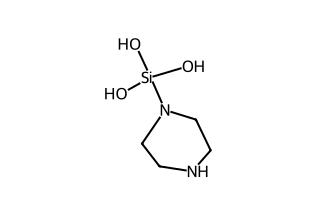 O[Si](O)(O)N1CCNCC1